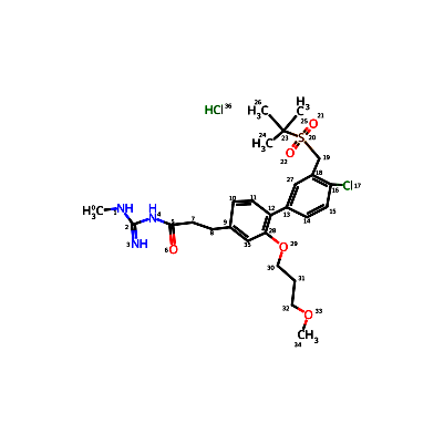 CNC(=N)NC(=O)CCc1ccc(-c2ccc(Cl)c(CS(=O)(=O)C(C)(C)C)c2)c(OCCCOC)c1.Cl